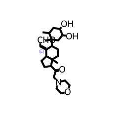 CC1CC(O)C(O)CC1(C)C1CCC2(C)C(C(=O)CN3CCOCC3)CCC2/C1=C/C=O